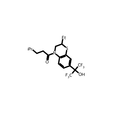 CCC1CN(C(=O)CCC(C)C)c2ccc(C(O)(C(F)(F)F)C(F)(F)F)cc2S1